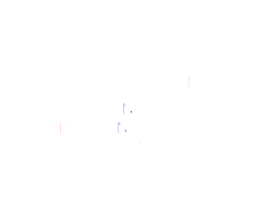 OCCn1cc2c[c]c(F)cc2n1